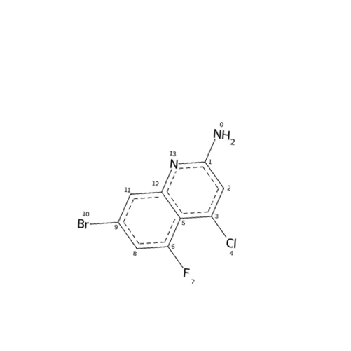 Nc1cc(Cl)c2c(F)cc(Br)cc2n1